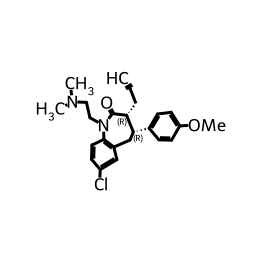 C#CC[C@H]1C(=O)N(CCN(C)C)c2ccc(Cl)cc2C[C@H]1c1ccc(OC)cc1